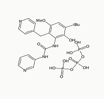 COc1cc(C(C)(C)C)c(O)c(NC(=O)Nc2cccnc2)c1Cc1ccncc1.O=P(O)(O)OP(=O)(O)OP(=O)(O)O